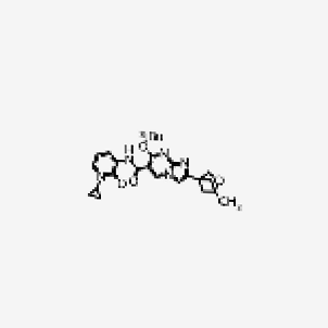 CC[C@H](C)Oc1nc2nc(C34COC(C)(C3)C4)cn2cc1C(=O)Nc1cccn(C2CC2)c1=O